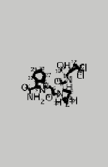 NC(=O)c1nn(CC(=O)N2[C@@H]3C[C@@H]3C[C@H]2C(=O)N[C@H](CO)[C@H]2CC2(Cl)Cl)c2ccccc12